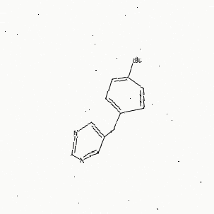 CC(C)(C)c1ccc(Cc2cncnc2)cc1